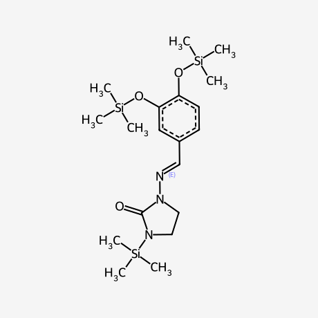 C[Si](C)(C)Oc1ccc(/C=N/N2CCN([Si](C)(C)C)C2=O)cc1O[Si](C)(C)C